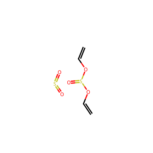 C=COS(=O)OC=C.O=S=O